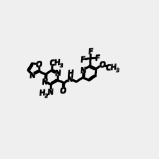 COc1ccc(CNC(=O)c2nc(C)c(-c3ncco3)nc2N)nc1C(F)(F)F